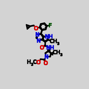 COCC(=O)N1C[C@H](C)[C@H](NC(=O)c2c(C)[nH]c3c(-c4cc(F)ccc4OCC4CC4)ncnc23)C1